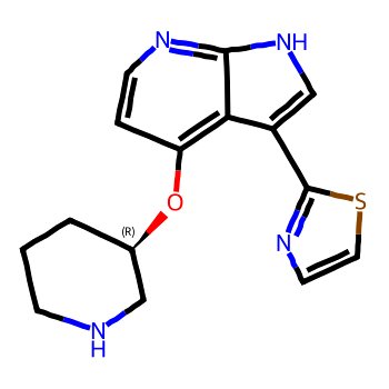 c1csc(-c2c[nH]c3nccc(O[C@@H]4CCCNC4)c23)n1